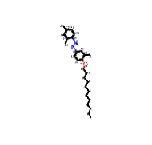 CCCCCCCCCCCCOc1ccc(N=Nc2ccc(C)cc2C)cc1C